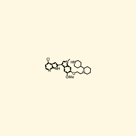 COc1cc2c(-c3cc4c(Cl)ccnc4[nH]3)cn(C)c2cc1OCCN1CCCCC1C1CCNCC1